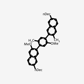 CCCCCCCCCCc1ccc2cc(C)c(-c3cc(C)c(-c4cc5cc(CCCCCCCCCC)ccc5cc4OC)cc3OC)cc2c1